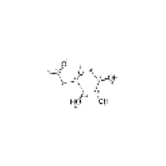 CC(=O)CC1OC[C@@H](O)[C@H](O)[C@H]1O